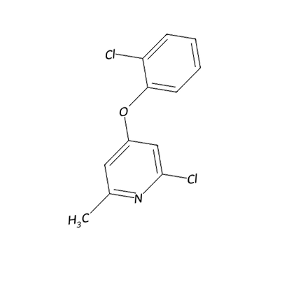 Cc1cc(Oc2ccccc2Cl)cc(Cl)n1